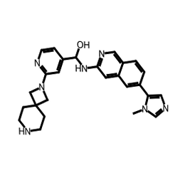 Cn1cncc1-c1ccc2cnc(NC(O)c3ccnc(N4CC5(CCNCC5)C4)c3)cc2c1